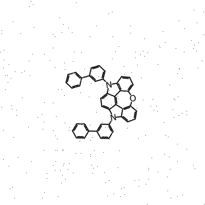 c1ccc(-c2cccc(-n3c4cccc5oc6cccc7c6c6c(c54)c3ccc6n7-c3cccc(-c4ccccc4)c3)c2)cc1